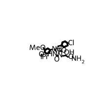 COc1cc(NC2NC(=O)N(CC(O)CON)C(=O)N2Cc2ccc(Cl)cc2)ccc1OC(C)C